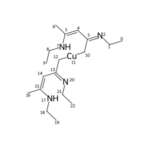 CCN=C(C=C(C)NCC)[CH2][Cu][CH2]C(C=C(C)NCC)=NCC